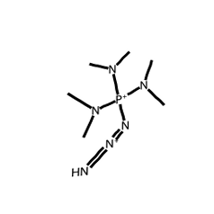 CN(C)[P+](N=[N+]=N)(N(C)C)N(C)C